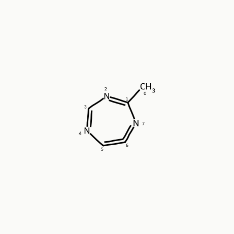 CC1=NC=NC=C=N1